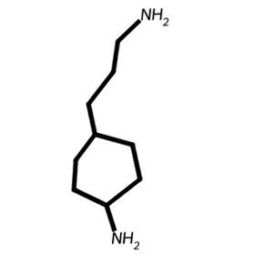 NCCCC1CCC(N)CC1